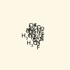 C#Cc1c(F)ccc2c1N([C@H]1COc3c(nc(OC[C@]4(C)C[C@@H](F)CN4c4ccc(C(F)(F)F)nc4)nc3N(C)C[C@@H]3CCCN3C(=O)C=C)C1)CCO2